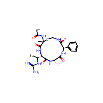 CCC(NC(=N)N)[C@@H]1NC(=O)[C@](C)(NC(=O)C(C)C)CCNC(=O)[C@@H](c2ccccc2)NC(=O)[C@H](CC)NC1=O